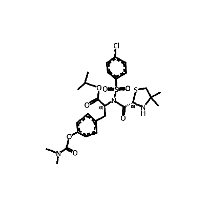 CC(C)OC(=O)[C@H](Cc1ccc(OC(=O)N(C)C)cc1)N(C(=O)[C@H]1NC(C)(C)CS1)S(=O)(=O)c1ccc(Cl)cc1